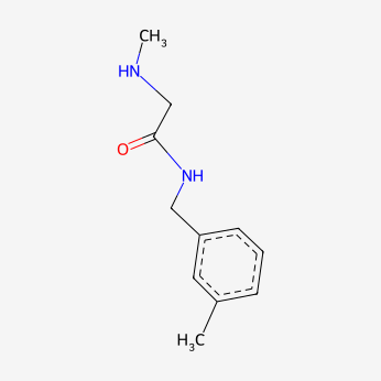 CNCC(=O)NCc1cccc(C)c1